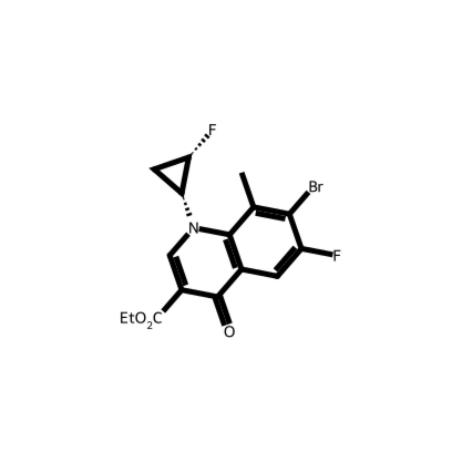 CCOC(=O)c1cn([C@@H]2C[C@@H]2F)c2c(C)c(Br)c(F)cc2c1=O